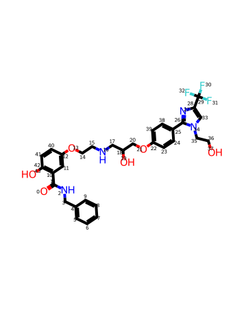 O=C(NCc1ccccc1)c1cc(OCCNCC(O)COc2ccc(-c3nc(C(F)(F)F)cn3CCO)cc2)ccc1O